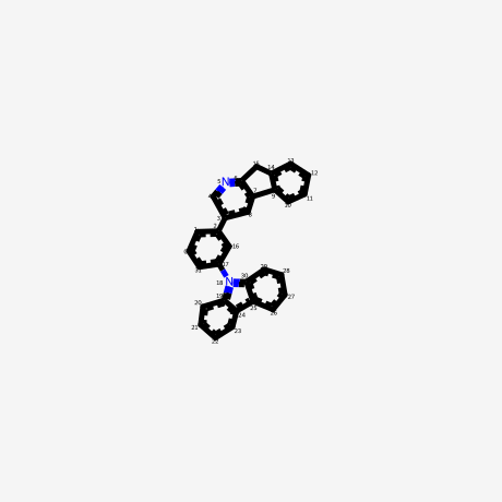 c1cc(-c2cnc3c(c2)-c2ccccc2C3)cc(-n2c3ccccc3c3ccccc32)c1